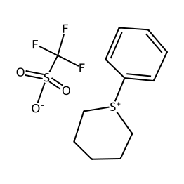 O=S(=O)([O-])C(F)(F)F.c1ccc([S+]2CCCCC2)cc1